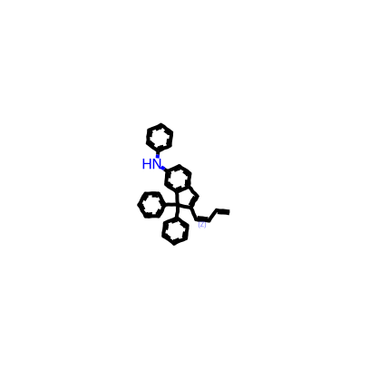 C=C/C=C\C1=Cc2ccc(Nc3ccccc3)cc2C1(c1ccccc1)c1ccccc1